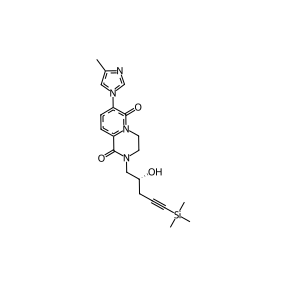 Cc1cn(-c2ccc3n(c2=O)CCN(C[C@H](O)CC#C[Si](C)(C)C)C3=O)cn1